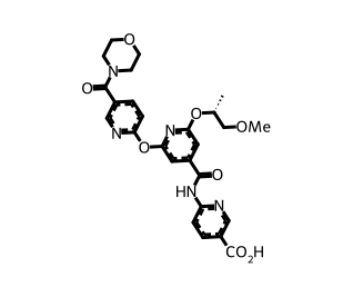 COC[C@@H](C)Oc1cc(C(=O)Nc2ccc(C(=O)O)cn2)cc(Oc2ccc(C(=O)N3CCOCC3)cn2)n1